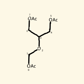 CC(=O)OCOC(COC(C)=O)COC(C)=O